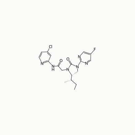 CC[C@H](C)[C@H]1CN(c2ncc(F)cn2)C(=O)N1CC(=O)Nc1cc(Cl)ccn1